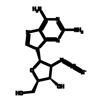 [N-]=[N+]=NC1[C@H](n2cnc3c(N)nc(N)nc32)O[C@H](CO)[C@H]1O